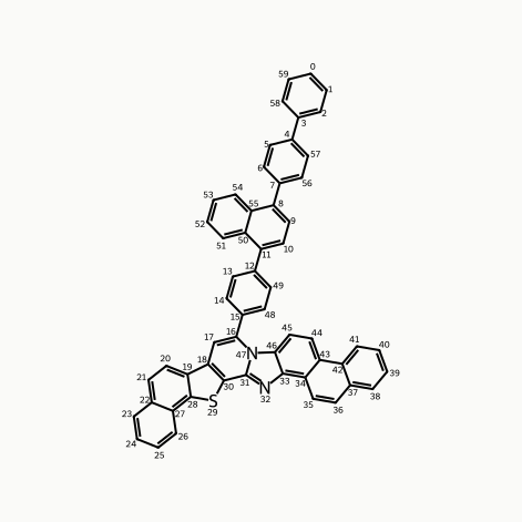 c1ccc(-c2ccc(-c3ccc(-c4ccc(-c5cc6c7ccc8ccccc8c7sc6c6nc7c8ccc9ccccc9c8ccc7n56)cc4)c4ccccc34)cc2)cc1